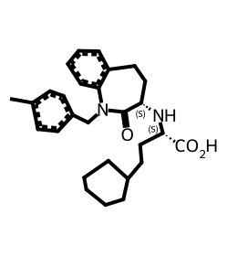 Cc1ccc(CN2C(=O)[C@@H](N[C@@H](CCC3CCCCC3)C(=O)O)CCc3ccccc32)cc1